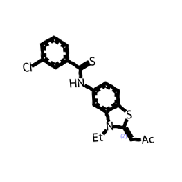 CCN1/C(=C/C(C)=O)Sc2ccc(NC(=S)c3cccc(Cl)c3)cc21